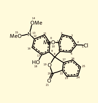 COc1ccc(Cl)cc1C1(c2ccc(N(OC)OC)cc2O)OC(=O)c2ccccc21